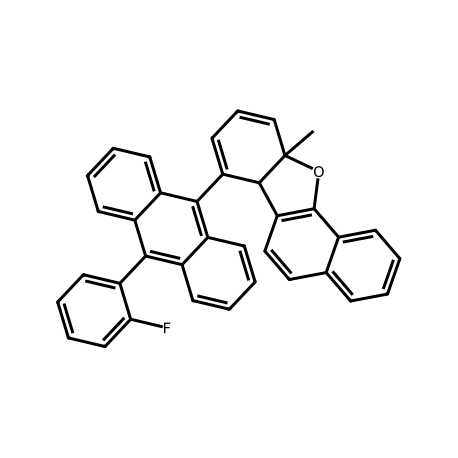 CC12C=CC=C(c3c4ccccc4c(-c4ccccc4F)c4ccccc34)C1c1ccc3ccccc3c1O2